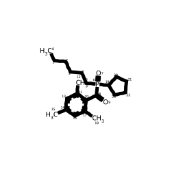 CCCCCCP(=O)(C(=O)c1c(C)cc(C)cc1C)C1CCCC1